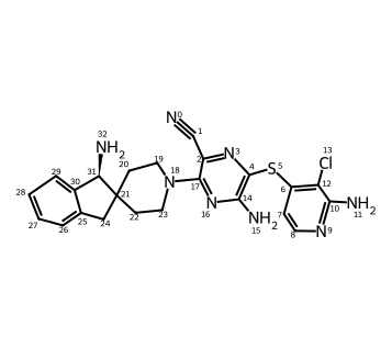 N#Cc1nc(Sc2ccnc(N)c2Cl)c(N)nc1N1CCC2(CC1)Cc1ccccc1[C@H]2N